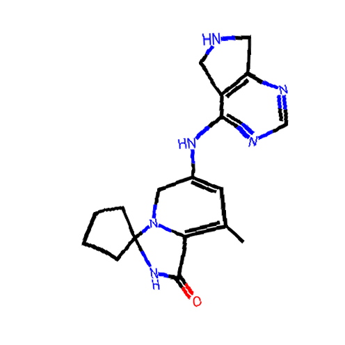 CC1=C2C(=O)NC3(CCCC3)N2CC(Nc2ncnc3c2CNC3)=C1